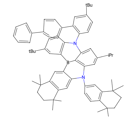 CC(C)c1cc2c3c(c1)N(c1ccc(C(C)(C)C)cc1-c1ccc(-c4ccccc4)cc1)c1ccc(C(C)(C)C)cc1B3c1cc3c(cc1N2c1ccc2c(c1)C(C)(C)CCC2(C)C)C(C)(C)CCC3(C)C